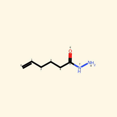 C=CCCCC(=O)NN